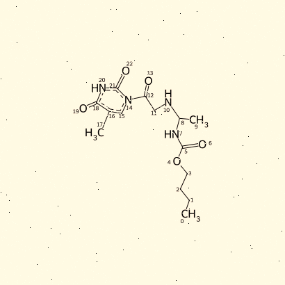 CCCCOC(=O)NC(C)NCC(=O)n1cc(C)c(=O)[nH]c1=O